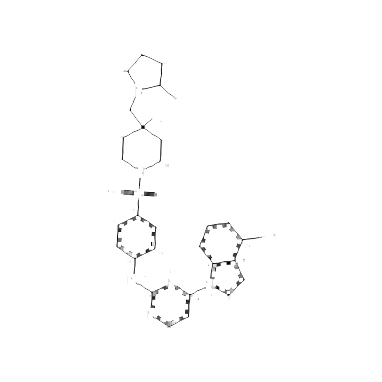 CC1CCCN1CC1(O)CCN(S(=O)(=O)c2ccc(Nc3nccc(-n4ccc5c(F)cccc54)n3)cc2)CC1